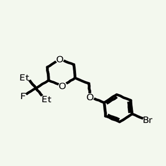 CCC(F)(CC)C1COCC(COc2ccc(Br)cc2)O1